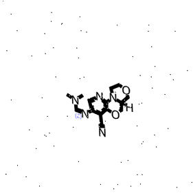 CN(C)/C=N\c1cnc2c(c1C#N)OC[C@H]1COCCN21